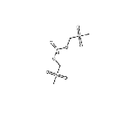 CS(=O)(=O)CO[PH](=O)OCS(C)(=O)=O